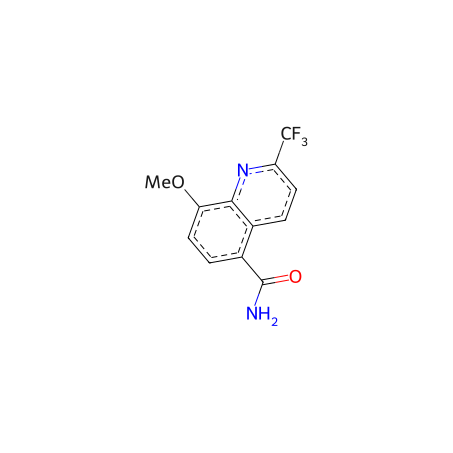 COc1ccc(C(N)=O)c2ccc(C(F)(F)F)nc12